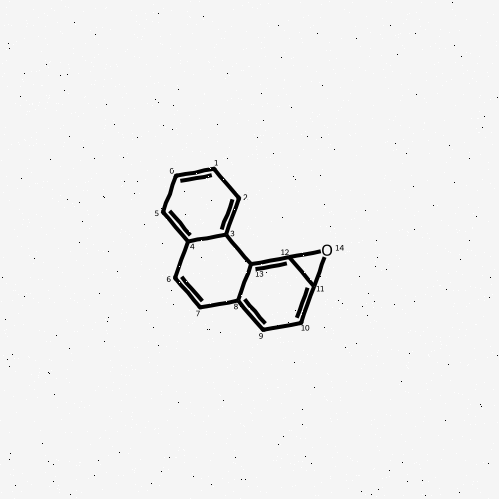 c1ccc2c(c1)ccc1ccc3c(c12)O3